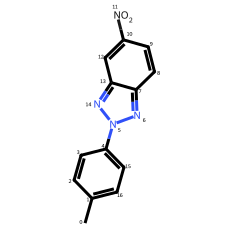 Cc1ccc(-n2nc3ccc([N+](=O)[O-])cc3n2)cc1